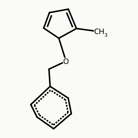 CC1=CC=CC1OCc1ccccc1